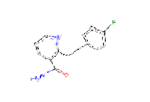 NC(=O)c1cccnc1Cc1ccc(F)cc1